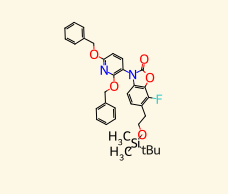 CC(C)(C)[Si](C)(C)OCCc1ccc2c(oc(=O)n2-c2ccc(OCc3ccccc3)nc2OCc2ccccc2)c1F